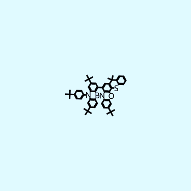 CC(C)(C)c1ccc(N2c3cc(C(C)(C)C)ccc3B3c4c(cc(C(C)(C)C)cc42)-c2cc4c(c5c2N3c2ccc(C(C)(C)C)cc2O5)Sc2ccccc2C4(C)C)cc1